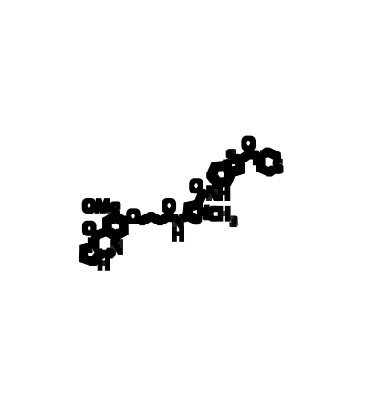 COc1cc2c(cc1OCCCC(=O)Nc1cc(C(=O)Nc3ccc4sc(C(=O)N5CCSCC5)cc4c3)n(C)c1)N=C[C@@H]1CCCN1C2=O